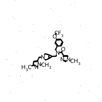 Cc1cc(CN2CC3C(C2)C3CN(Cc2cccc(OC(F)(F)F)c2)C(=O)c2cn(C)cn2)n(C)n1